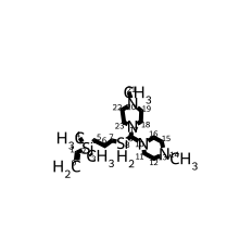 C=C[Si](C)(C)CCC[SiH2]C(N1CCN(C)CC1)N1CCN(C)CC1